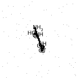 NCCCCC(NC(=O)CCCCCCNC(=O)c1cccc([N+](=O)[O-])c1)C(=O)O